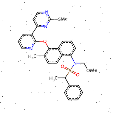 COCN(c1cccc2c(Oc3ncccc3-c3ccnc(SC)n3)c(C)ccc12)S(=O)(=O)C(C)c1ccccc1